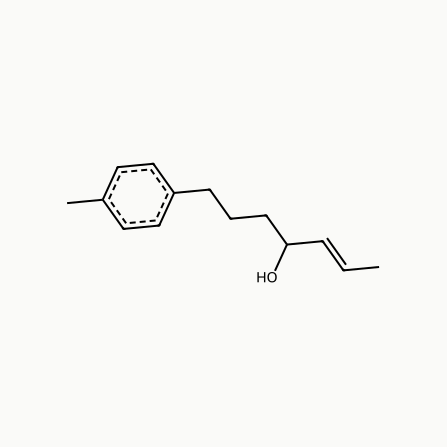 CC=CC(O)CCCc1ccc(C)cc1